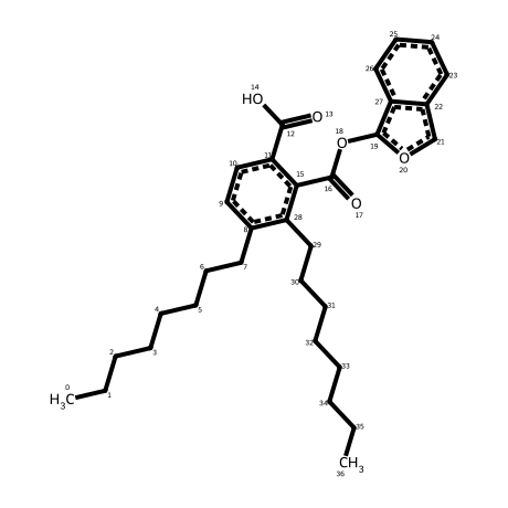 CCCCCCCCc1ccc(C(=O)O)c(C(=O)Oc2occ3ccccc23)c1CCCCCCCC